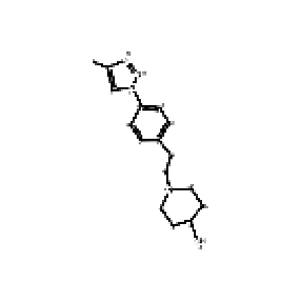 Cc1cn(-c2ccc(CCN3CCC(O)CC3)cc2)nn1